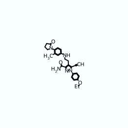 C#Cc1c(CCNc2ccc(N3CCCC3=O)c(C)c2)c(C(N)=O)nn1-c1ccc(OCC)cc1